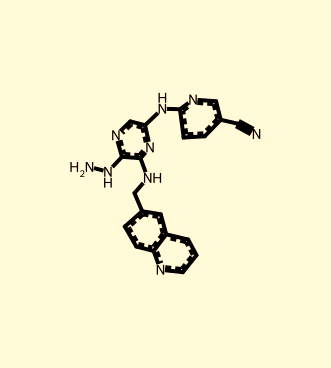 N#Cc1ccc(Nc2cnc(NN)c(NCc3ccc4ncccc4c3)n2)nc1